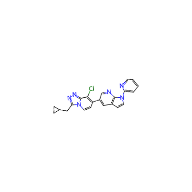 Clc1c(-c2cnc3c(ccn3-c3ccccn3)c2)ccn2c(CC3CC3)nnc12